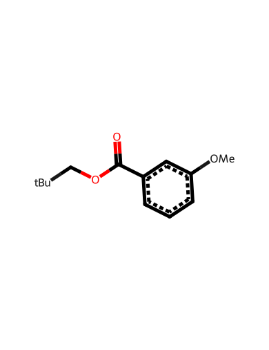 COc1cccc(C(=O)OCC(C)(C)C)c1